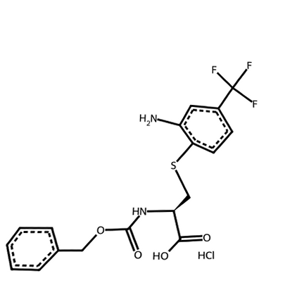 Cl.Nc1cc(C(F)(F)F)ccc1SC[C@H](NC(=O)OCc1ccccc1)C(=O)O